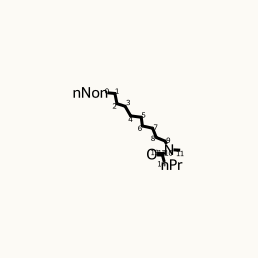 CCCCCCCCCCCCCCCCCCN(C)C(=O)CCC